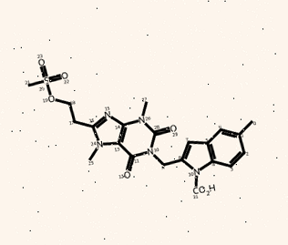 Cc1ccc2c(c1)cc(Cn1c(=O)c3c(nc(CCOS(C)(=O)=O)n3C)n(C)c1=O)n2C(=O)O